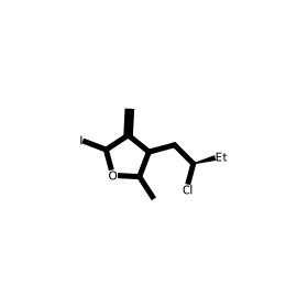 C=C1C(I)OC(C)C1C[C@H](Cl)CC